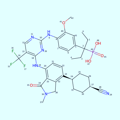 CCC(CC)(c1ccc(Nc2ncc(C(F)(F)F)c(Nc3ccc([C@H]4CC[C@@H](C#N)CC4)c4c3C(=O)N(C)C4)n2)c(OC)c1)P(=O)(O)O